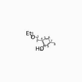 CCOCCc1ccc(C)cc1O